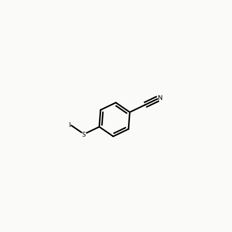 N#Cc1ccc(SI)cc1